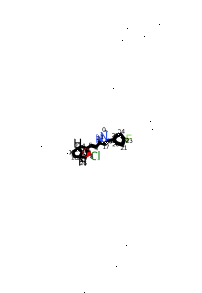 Cn1nc(/C=C/C2=C(Cl)C[C@@H]3CC[C@H](C2)C3=O)cc1-c1ccc(F)cc1